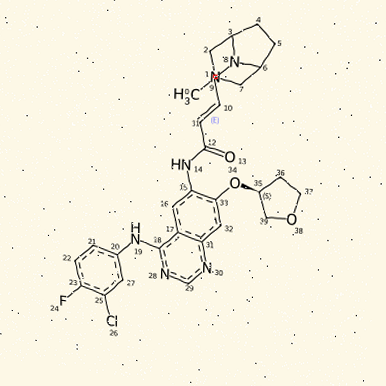 CN1CC2CCC(C1)N2C/C=C/C(=O)Nc1cc2c(Nc3ccc(F)c(Cl)c3)ncnc2cc1O[C@H]1CCOC1